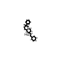 CC1(c2ccccc2)CCC2CC(O)(CCC3CCCCC3)CCN2C1